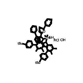 Cc1cc2c(c(-c3ccc(C(C)(C)C)cc3)c1C)C=C(c1ccc(-c3ccccc3)o1)[CH]2[Zr]([CH3])([CH3])(=[SiH2])[CH]1C(c2ccc(-c3ccccc3)o2)=Cc2c1cc(C)c(C)c2-c1ccc(C(C)(C)C)cc1.Cl.Cl